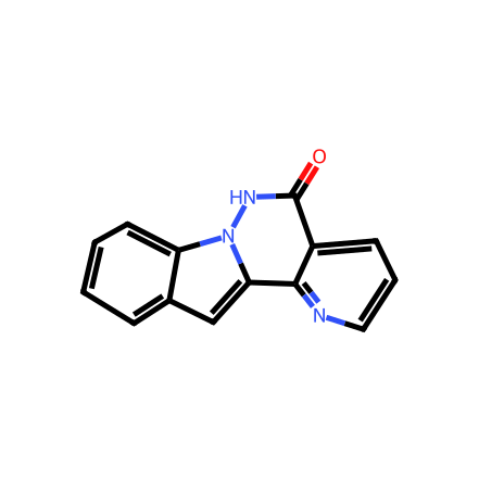 O=c1[nH]n2c3ccccc3cc2c2ncccc12